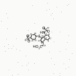 CS(=O)(=O)Nc1cccc2c1c(Sc1ccc(S(C)(=O)=O)cc1)cn2CC(=O)O